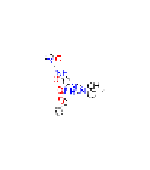 Cc1ccccc1N1CCN(c2ccc(C(=O)NCCCN3CCCC3=O)cc2NC(=O)c2ccc(-c3ccccc3)o2)CC1